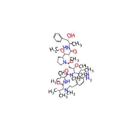 CC[C@H](C)C([C@@H](CC(=O)N1CCC[C@H]1[C@H](OC)[C@@H](C)C(=O)N[C@H](C)[C@@H](O)c1ccccc1)OC)N(C)C(=O)[C@@H](NC(=O)C(C(C)C)N(C)CCc1ccc(N)cc1)C(C)C